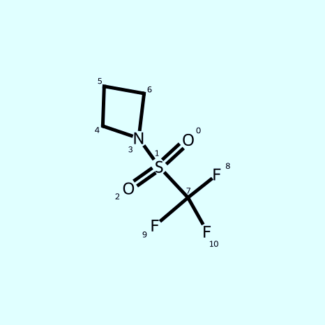 O=S(=O)(N1CCC1)C(F)(F)F